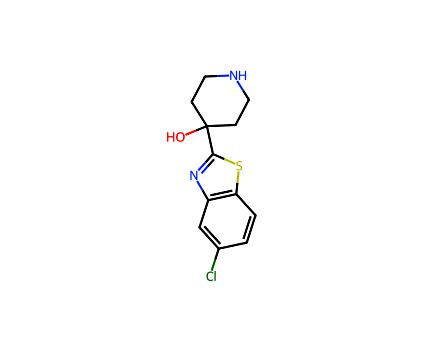 OC1(c2nc3cc(Cl)ccc3s2)CCNCC1